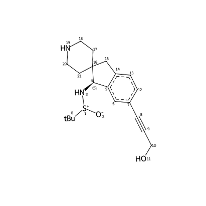 CC(C)(C)[S+]([O-])N[C@@H]1c2cc(C#CCO)ccc2CC12CCNCC2